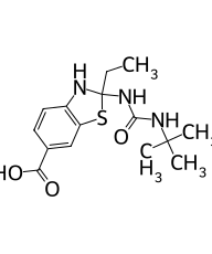 CCC1(NC(=O)NC(C)(C)C)Nc2ccc(C(=O)O)cc2S1